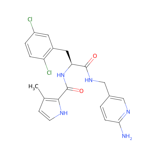 Cc1cc[nH]c1C(=O)N[C@@H](Cc1cc(Cl)ccc1Cl)C(=O)NCc1ccc(N)nc1